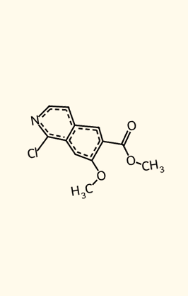 COC(=O)c1cc2ccnc(Cl)c2cc1OC